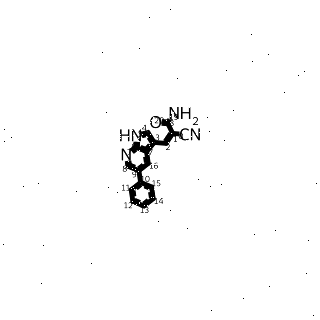 N#CC(=Cc1c[nH]c2ncc(-c3ccccc3)cc12)C(N)=O